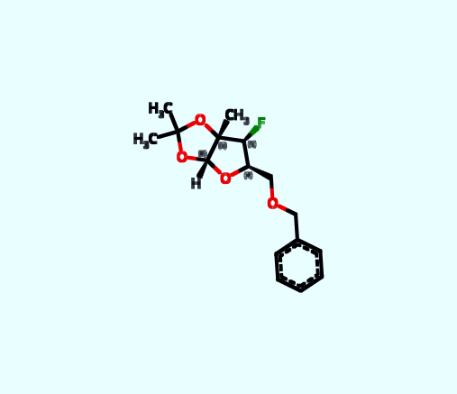 CC1(C)O[C@H]2O[C@H](COCc3ccccc3)[C@H](F)[C@@]2(C)O1